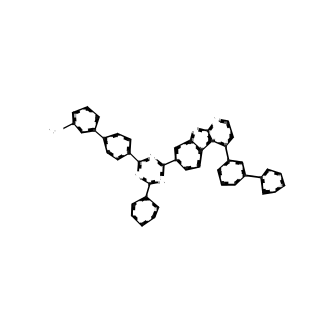 N#Cc1cccc(-c2ccc(-c3nc(-c4ccccc4)nc(-c4ccc5c(c4)oc4nccc(-c6cccc(-c7ccccc7)c6)c45)n3)cc2)c1